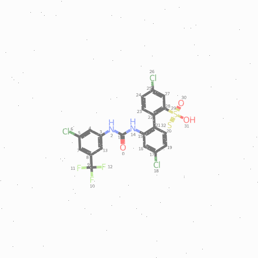 O=C(Nc1cc(Cl)cc(C(F)(F)F)c1)Nc1cc(Cl)ccc1-c1ccc(Cl)cc1S(=O)(O)=S